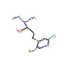 CON(C)C(O)CCc1cc(Cl)ncc1Br